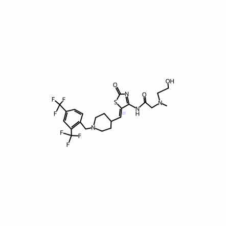 CN(CCO)CC(=O)NC1=NC(=O)S/C1=C\C1CCN(Cc2ccc(C(F)(F)F)cc2C(F)(F)F)CC1